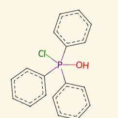 OP(Cl)(c1ccccc1)(c1ccccc1)c1ccccc1